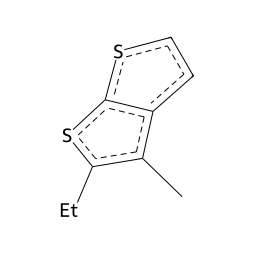 CCc1sc2sccc2c1C